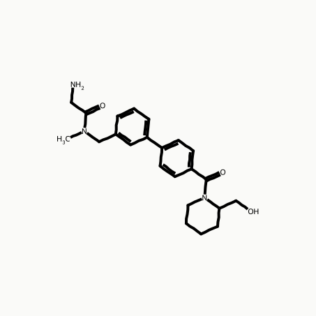 CN(Cc1cccc(-c2ccc(C(=O)N3CCCCC3CO)cc2)c1)C(=O)CN